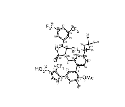 COc1c(F)cc(-n2ncc(C(=O)O)c2C(F)(F)F)cc1-c1cnc(N2CC(F)(F)C2)nc1CN1C(=O)OC(c2cc(C(F)(F)F)cc(C(F)(F)F)c2)C1C